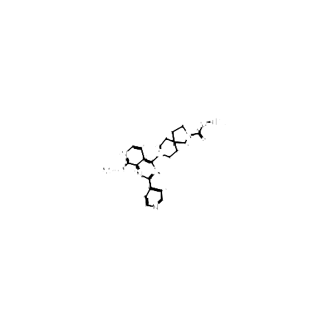 COc1nccc2c(N3CCC4(CCN(C(=O)OC(C)(C)C)C4)CC3)nc(-c3ccncc3)nc12